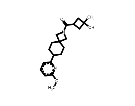 COc1cccc(C2CCC3(CC2)CN(C(=O)C2CC(C)(O)C2)C3)n1